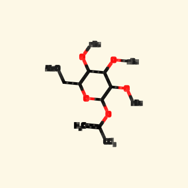 C=C(OC1OC(COC)C(OCCCC)C(OCCCC)C1OCCCC)C(Cl)(Cl)Cl